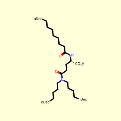 CCCCCCCCCCCCCCCCCC(=O)N[C@@H](CCC(=O)N(CCCCCCCCCCCCCC)CCCCCCCCCCCCCC)C(=O)O